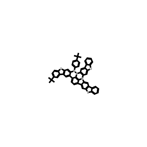 CC(C)(C)c1ccc(N2B3c4cc5c(cc4-n4c6cc7c(cc6c6ccc(c3c64)-c3cc4c(cc32)sc2ccc(C(C)(C)C)cc24)sc2ccccc27)oc2ccccc25)cc1